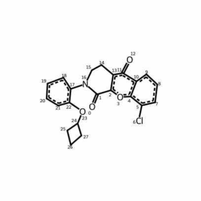 O=C1c2oc3c(Cl)cccc3c(=O)c2CCN1c1ccccc1OC1CCC1